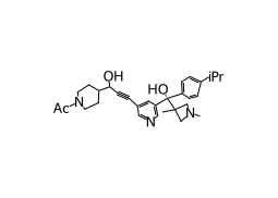 CC(=O)N1CCC(C(O)C#Cc2cncc([C@@](O)(c3ccc(C(C)C)cc3)C3(C)CN(C)C3)c2)CC1